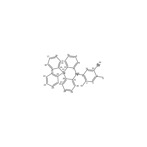 Cc1cc(C)c(N2c3ccccc3[Si](c3ccccc3)(c3ccccc3)c3ccccc32)cc1Br